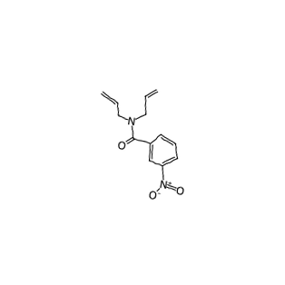 C=CCN(CC=C)C(=O)c1cccc([N+](=O)[O-])c1